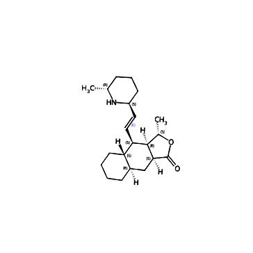 C[C@@H]1CCC[C@@H](/C=C/[C@@H]2[C@H]3CCCC[C@@H]3C[C@@H]3C(=O)O[C@@H](C)[C@H]23)N1